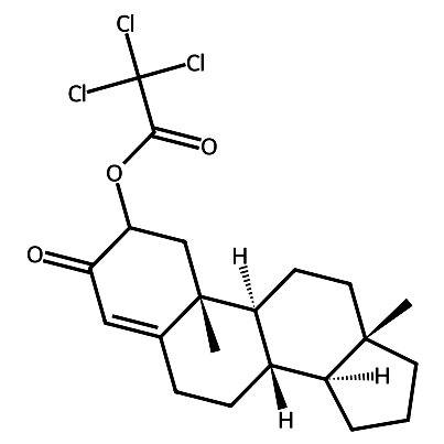 C[C@@]12CCC[C@H]1[C@@H]1CCC3=CC(=O)C(OC(=O)C(Cl)(Cl)Cl)C[C@]3(C)[C@H]1CC2